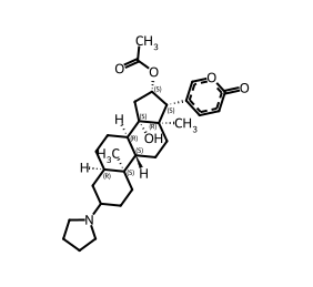 CC(=O)O[C@H]1C[C@]2(O)[C@@H]3CC[C@@H]4CC(N5CCCC5)CC[C@]4(C)[C@H]3CC[C@]2(C)[C@H]1c1ccc(=O)oc1